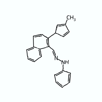 CC1=CC(c2ccc3ccccc3c2C=NNc2ccccc2)C=C1